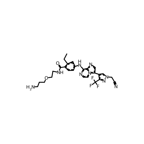 CCc1cc(Nc2nccn3c(-c4cn(CC#N)nc4C(F)(F)F)cnc23)ccc1C(=O)NCCOCCCN